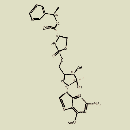 COc1nc(N)nc2c1ncn2[C@@H]1OC(COP2(=O)N[C@H](C(=O)O[C@H](C)c3ccccc3)CS2)[C@@H](O)[C@@]1(C)O